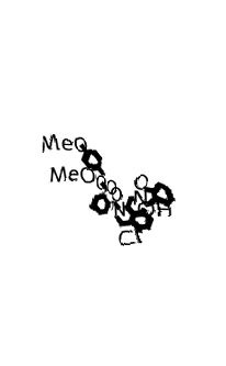 COc1ccc(COC(=O)[C@H]2CCCC[C@H]2C(=O)N2CCc3c(Cl)ccc(O)c3C2CN2Cc3ccccc3C2=O)c(OC)c1